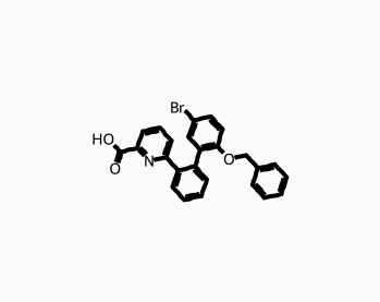 O=C(O)c1cccc(-c2ccccc2-c2cc(Br)ccc2OCc2ccccc2)n1